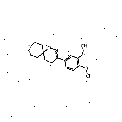 COc1ccc(C2=NOC3(CCOCC3)CC2)cc1OC